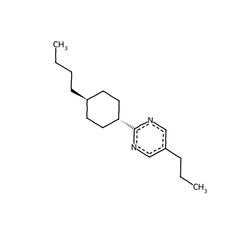 CCCC[C@H]1CC[C@H](c2ncc(CCC)cn2)CC1